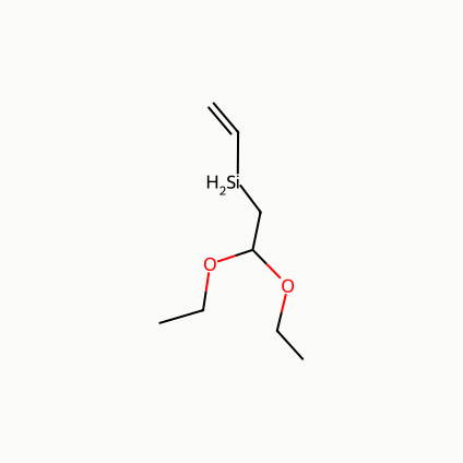 C=C[SiH2]CC(OCC)OCC